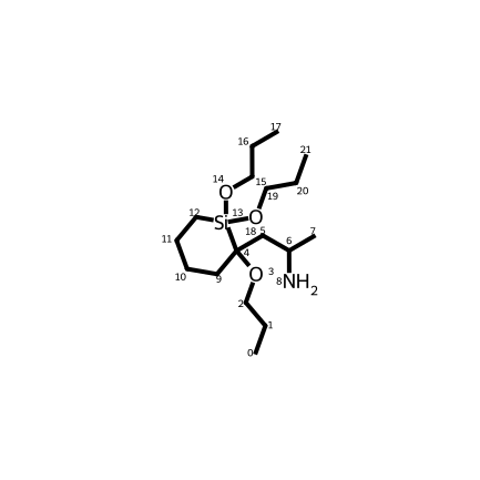 CCCOC1(CC(C)N)CCCC[Si]1(OCCC)OCCC